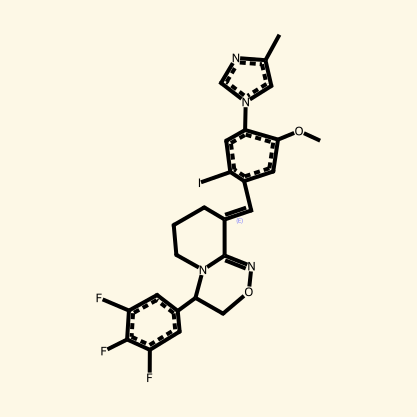 COc1cc(/C=C2\CCCN3C2=NOCC3c2cc(F)c(F)c(F)c2)c(I)cc1-n1cnc(C)c1